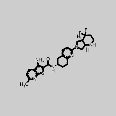 Cc1ccc2c(N)c(C(=O)N[C@H]3CCc4nc(N5C[C@@H]6NCCC(F)(F)[C@@H]6C5)ccc4C3)sc2n1